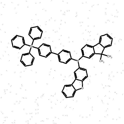 CC1(C)c2ccccc2-c2ccc(N(c3ccc(-c4ccc([Si](c5ccccc5)(c5ccccc5)c5ccccc5)cc4)cc3)c3ccc4oc5ccccc5c4c3)cc21